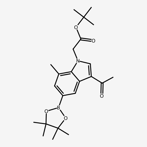 CC(=O)c1cn(CC(=O)OC(C)(C)C)c2c(C)cc(B3OC(C)(C)C(C)(C)O3)cc12